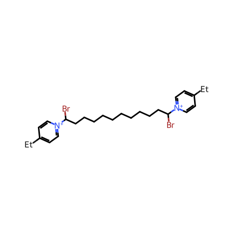 CCc1cc[n+](C(Br)CCCCCCCCCCC(Br)[n+]2ccc(CC)cc2)cc1